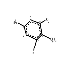 Cc1c(F)nc(C(C)C)nc1Br